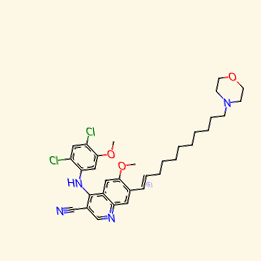 COc1cc(Nc2c(C#N)cnc3cc(/C=C/CCCCCCCCCN4CCOCC4)c(OC)cc23)c(Cl)cc1Cl